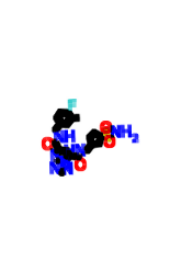 Cc1cc(CNC(=O)c2cc(C(=O)NCC3CCC(S(N)(=O)=O)C3)n3ncnc3n2)ccc1F